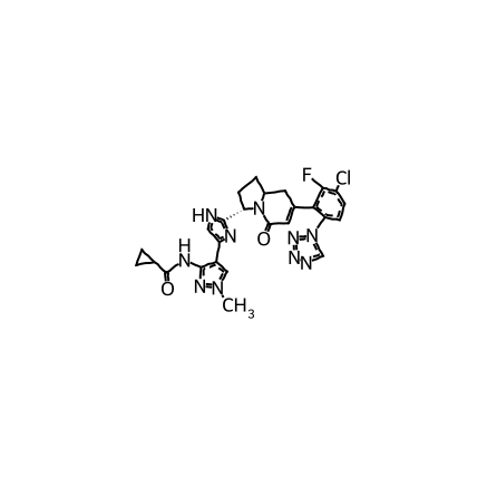 Cn1cc(-c2c[nH]c([C@@H]3CCC4CC(c5c(-n6cnnn6)ccc(Cl)c5F)=CC(=O)N43)n2)c(NC(=O)C2CC2)n1